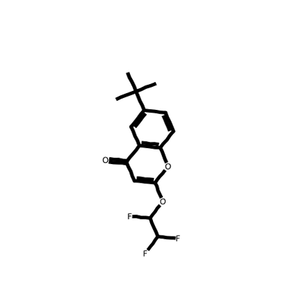 CC(C)(C)c1ccc2oc(OC(F)C(F)F)cc(=O)c2c1